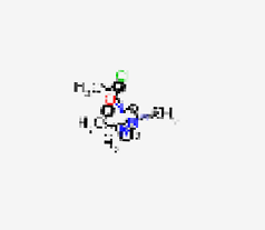 C=C(c1ccc2c(c1)N(CC1CCC1C(/C=C/CC)N1CCN3CCCCC3C1)CC(c1ccc(Cl)cc1CCC)O2)C(C)CC